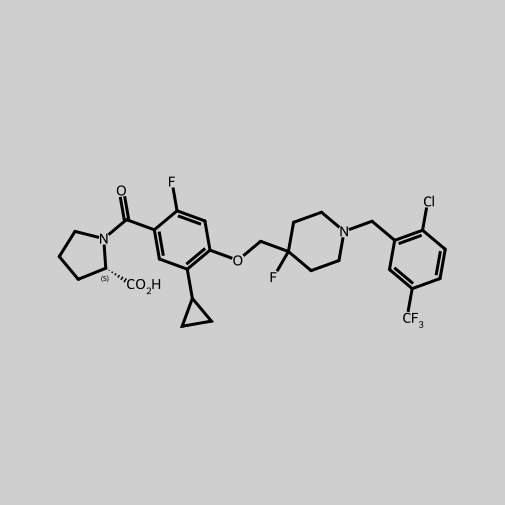 O=C(O)[C@@H]1CCCN1C(=O)c1cc(C2CC2)c(OCC2(F)CCN(Cc3cc(C(F)(F)F)ccc3Cl)CC2)cc1F